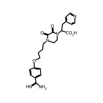 N=C(N)c1ccc(OCCCCN2CCN(C(Cc3ccncc3)C(=O)O)C(=O)C2=O)cc1